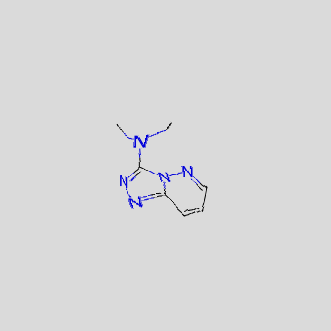 CN(C)c1nnc2cccnn12